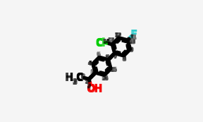 CC(O)c1ccc(-c2ccc(F)cc2Cl)cc1